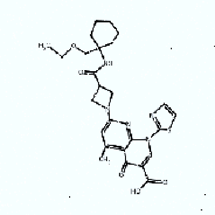 CCOCC1(NC(=O)C2CN(c3cc(C)c4c(=O)c(C(=O)O)cn(-c5nccs5)c4n3)C2)CCCCC1